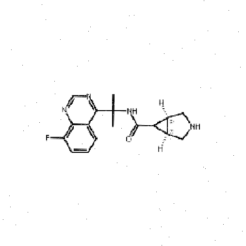 CC(C)(NC(=O)C1[C@H]2CNC[C@@H]12)c1ncnc2c(F)cccc12